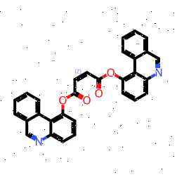 O=C(/C=C\C(=O)Oc1cccc2ncc3ccccc3c12)Oc1cccc2ncc3ccccc3c12